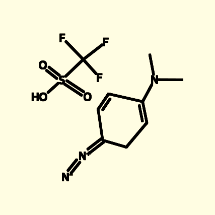 CN(C)C1=CCC(=[N+]=[N-])C=C1.O=S(=O)(O)C(F)(F)F